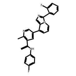 C=C(Nc1ccc(F)cc1)c1cc(-c2cccn3c(-c4ccccc4F)ncc23)cnc1C